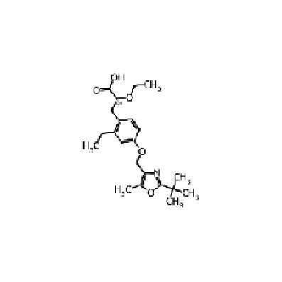 CCO[C@@H](Cc1ccc(OCc2nc(C(C)(C)C)oc2C)cc1CC)C(=O)O